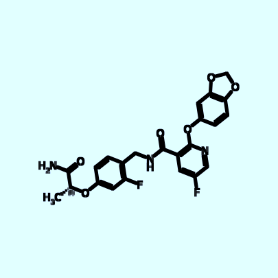 C[C@@H](Oc1ccc(CNC(=O)c2cc(F)cnc2Oc2ccc3c(c2)OCO3)c(F)c1)C(N)=O